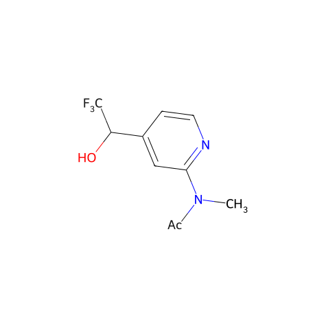 CC(=O)N(C)c1cc(C(O)C(F)(F)F)ccn1